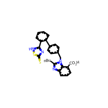 CCCCc1nc2cccc(C(=O)O)c2n1Cc1ccc(-c2ccccc2-c2nc(=S)s[nH]2)cc1